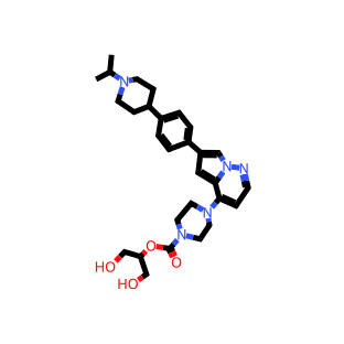 CC(C)N1CCC(c2ccc(-c3cc4c(N5CCN(C(=O)OC(CO)CO)CC5)ccnn4c3)cc2)CC1